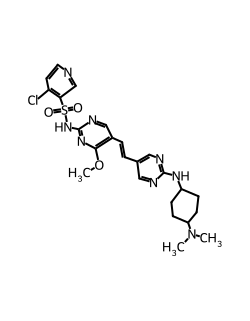 COc1nc(NS(=O)(=O)c2cnccc2Cl)ncc1C=Cc1cnc(NC2CCC(N(C)C)CC2)nc1